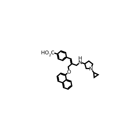 O=C(O)c1ccc(/C=C(/CNC2CCN(C3CC3)C2)COc2cccc3ccccc23)cc1